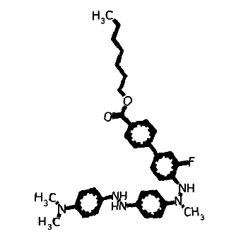 CCCCCCCOC(=O)c1ccc(-c2ccc(NN(C)c3ccc(NNc4ccc(N(C)C)cc4)cc3)c(F)c2)cc1